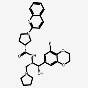 O=C(N[C@H](CN1CCCC1)[C@H](O)c1cc(F)c2c(c1)OCCO2)[C@@H]1CCN(c2ccc3ccccc3n2)C1